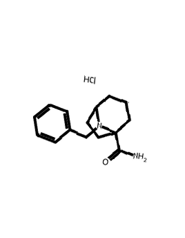 Cl.NC(=O)C12C[CH]CC(CC1)N2Cc1ccccc1